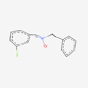 [O-][N+](=Cc1cccc(F)c1)Cc1ccccc1